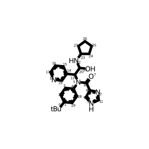 CC(C)(C)c1ccc(N(C(=O)c2c[nH]cn2)C(c2cccnc2)C(O)NC2CCCC2)cc1